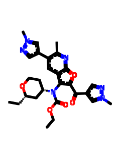 CCOC(=O)N(c1c(C(=O)c2cnn(C)c2)oc2nc(C)c(-c3cnn(C)c3)cc12)[C@H]1CCO[C@@H](CC)C1